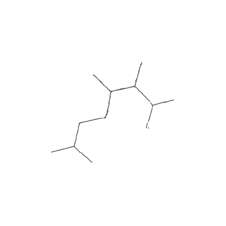 [CH2]C(C)C(C)C(C)CCC(C)C